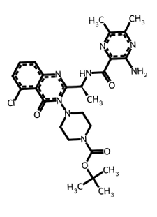 Cc1nc(N)c(C(=O)N[C@@H](C)c2nc3cccc(Cl)c3c(=O)n2N2CCN(C(=O)OC(C)(C)C)CC2)nc1C